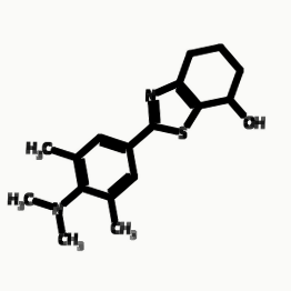 Cc1cc(-c2nc3c(s2)C(O)CCC3)cc(C)c1N(C)C